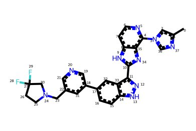 Cc1cn(-c2nccc3[nH]c(-c4n[nH]c5ccc(-c6cncc(CN7CCC(F)(F)C7)c6)cc45)nc23)cn1